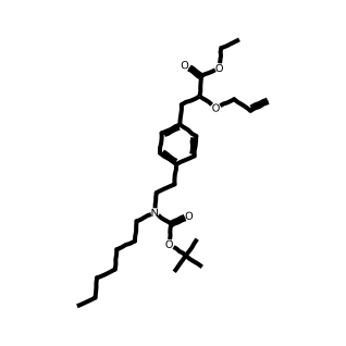 C=CCOC(Cc1ccc(CCN(CCCCCCC)C(=O)OC(C)(C)C)cc1)C(=O)OCC